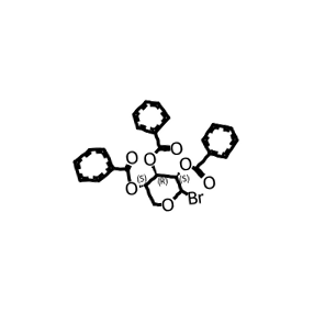 O=C(O[C@@H]1[C@@H](OC(=O)c2ccccc2)COC(Br)[C@H]1OC(=O)c1ccccc1)c1ccccc1